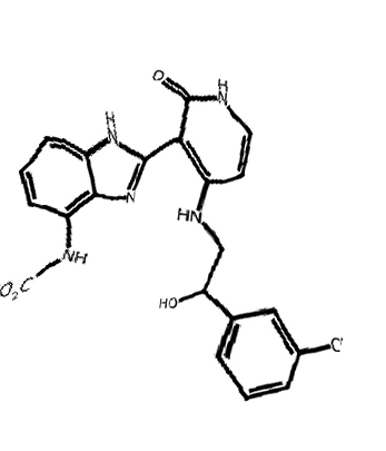 O=C(O)Nc1cccc2[nH]c(-c3c(NCC(O)c4cccc(Cl)c4)cc[nH]c3=O)nc12